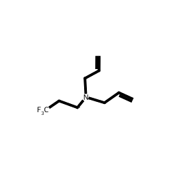 C=CCN([CH]CC(F)(F)F)CC=C